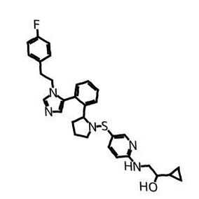 OC(CNc1ccc(SN2CCCC2c2ccccc2-c2cncn2CCc2ccc(F)cc2)cn1)C1CC1